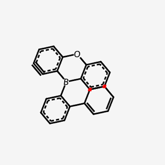 c1ccc2c(c#1)B(c1ccccc1C1=CC=CCC1)c1ccccc1O2